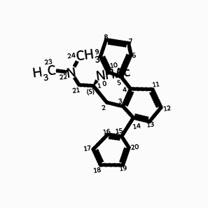 CC(=O)N[C@@H](Cc1c(-c2ccccc2)cccc1-c1ccccc1)CN(C)C